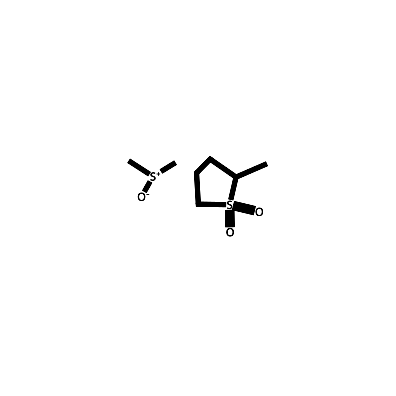 CC1CCCS1(=O)=O.C[S+](C)[O-]